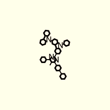 Cc1c(-c2ccccc2)nc(-c2ccc3c(c2)c2cc(-n4c5ccccc5c5ccccc54)ccc2n3-c2ccccc2)nc1-c1ccc(-c2ccccc2)cc1